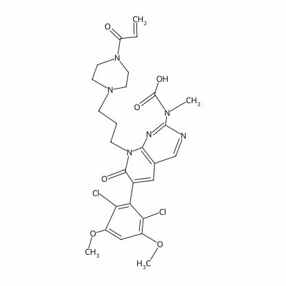 C=CC(=O)N1CCN(CCCn2c(=O)c(-c3c(Cl)c(OC)cc(OC)c3Cl)cc3cnc(N(C)C(=O)O)nc32)CC1